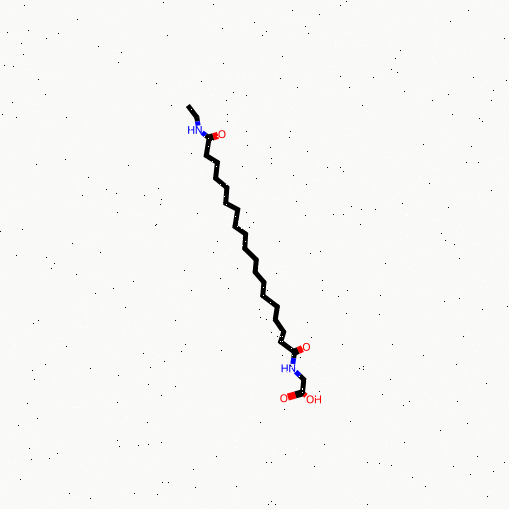 CCNC(=O)CCCCCCCCCCCCCCCCCC(=O)NCC(=O)O